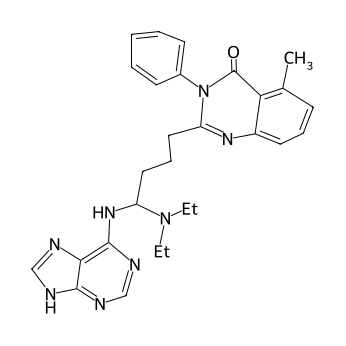 CCN(CC)C(CCCc1nc2cccc(C)c2c(=O)n1-c1ccccc1)Nc1ncnc2[nH]cnc12